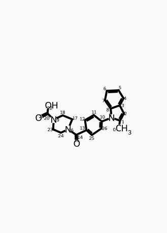 Cc1cc2ccccc2n1-c1ccc(C(=O)N2CCN(C(=O)O)CC2)cc1